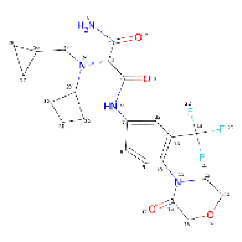 NC(=O)[C@H](C(=O)Nc1ccc(N2CCOCC2=O)c(C(F)(F)F)c1)N(CC1CC1)C1CCC1